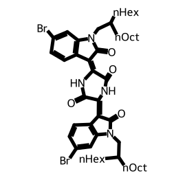 CCCCCCCCC(CCCCCC)CN1C(=O)C(=c2[nH]c(=O)c(=C3C(=O)N(CC(CCCCCC)CCCCCCCC)c4cc(Br)ccc43)[nH]c2=O)c2ccc(Br)cc21